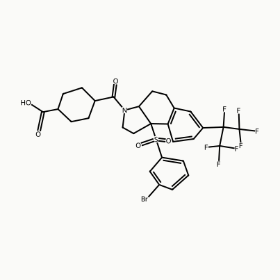 O=C(O)C1CCC(C(=O)N2CCC3(S(=O)(=O)c4cccc(Br)c4)c4ccc(C(F)(C(F)(F)F)C(F)(F)F)cc4CCC23)CC1